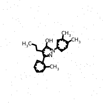 CCCc1c(-c2ccccc2C)nn(-c2ccc(C)c(C)c2)c1O